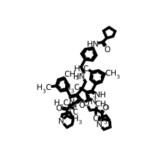 Cc1cc(C)cc(-c2[nH]nc(OCC(C)(C)C(=O)C3C4CCN3CC4)c2C(C)(CNCCc2ccc(NC(=O)C3CCCC3)cc2)c2c(OCC(C)(C)C(=O)C3C4CCN3CC4)n[nH]c2-c2cc(C)cc(C)c2)c1